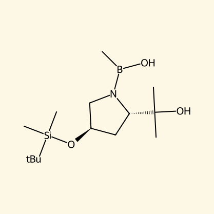 CB(O)N1C[C@H](O[Si](C)(C)C(C)(C)C)C[C@H]1C(C)(C)O